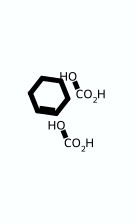 C1=CCCCC1.O=C(O)O.O=C(O)O